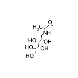 CC(NC[C@H](O)[C@@H](O)[C@H](O)[C@H](O)CO)C1CO1